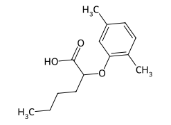 CCCCC(Oc1cc(C)ccc1C)C(=O)O